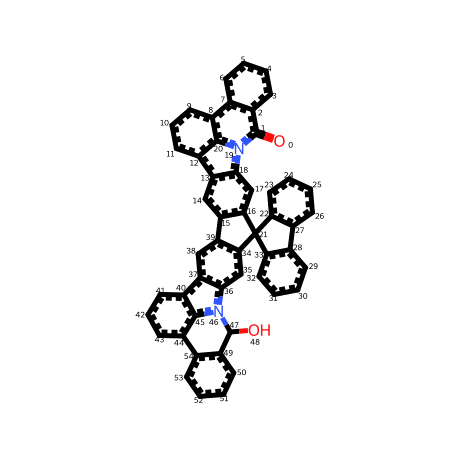 O=c1c2ccccc2c2cccc3c4cc5c(cc4n1c23)C1(c2ccccc2-c2ccccc21)c1cc2c(cc1-5)c1cccc3c1n2C(O)c1ccccc1-3